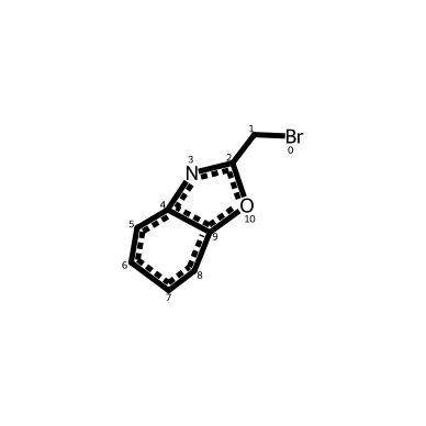 BrCc1nc2ccccc2o1